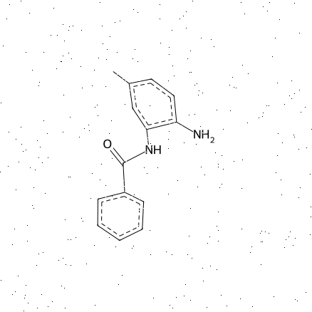 Cc1ccc(N)c(NC(=O)c2ccccc2)c1